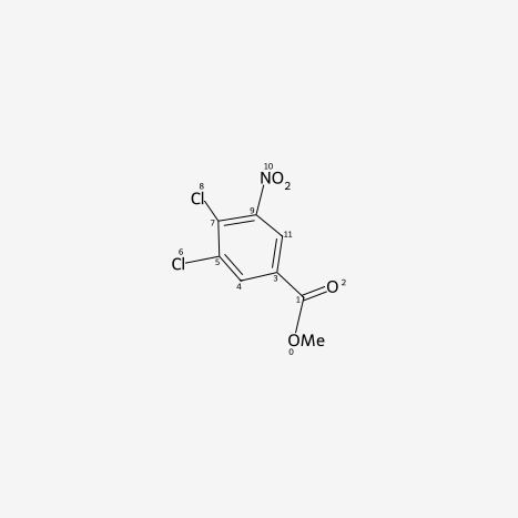 COC(=O)c1cc(Cl)c(Cl)c([N+](=O)[O-])c1